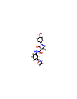 COc1ccc(N2N=C(C)C(C(=O)Nc3cccc(-c4ncco4)c3)C2=O)cc1